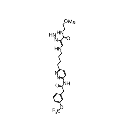 COCCNC(=O)/C(=C/NCCCCc1ccc(NC(=O)Cc2cccc(OC(F)(F)F)c2)nn1)N=N